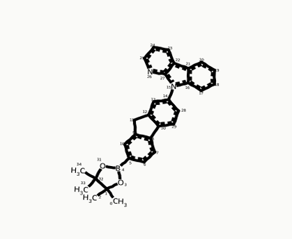 CC1(C)OB(c2ccc3c(c2)Cc2cc(-n4c5ccccc5c5cccnc54)ccc2-3)OC1(C)C